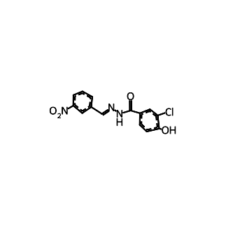 O=C(N/N=C/c1cccc([N+](=O)[O-])c1)c1ccc(O)c(Cl)c1